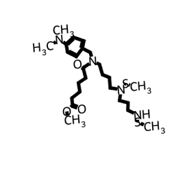 COC(=O)CCCCC(=O)N(CCCCN(CCCNSC)SC)Cc1ccc(N(C)C)cc1